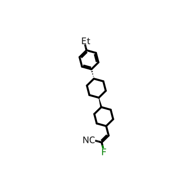 CCc1ccc([C@H]2CC[C@H](C3CCC(/C=C(/F)C#N)CC3)CC2)cc1